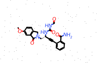 COc1ccc2c(c1)C(=O)N(C[C@@H](C#Cc1ccccc1C(N)=O)NC(=O)NC=O)C2